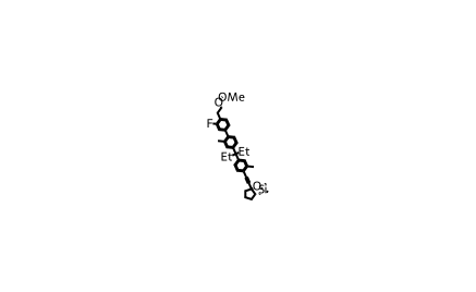 CCC(CC)(c1ccc(C#CC2(O[Si](C)(C)C)CCCC2)c(C)c1)c1ccc(-c2ccc(CCOOC)c(F)c2)c(C)c1